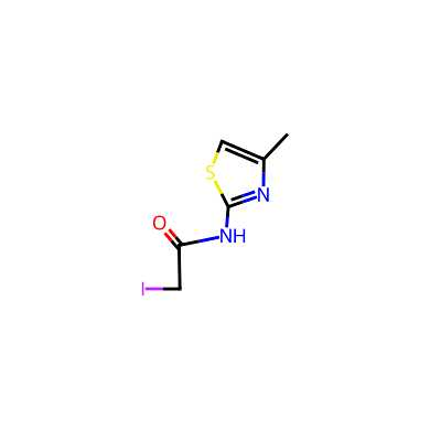 Cc1csc(NC(=O)CI)n1